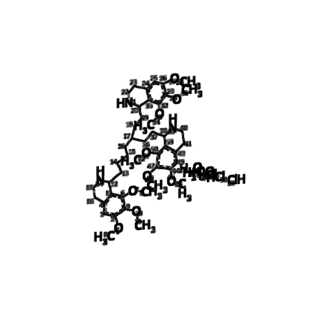 COc1cc2c(c(OC)c1OC)C(CCCCC(CCC1NCCc3cc(OC)c(OC)c(OC)c31)CCC1NCCc3cc(OC)c(OC)c(OC)c31)NCC2.Cl.Cl.Cl.O.O.O